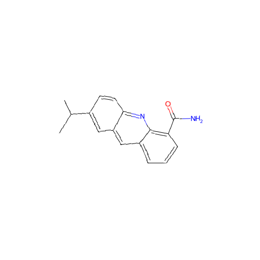 CC(C)c1ccc2nc3c(C(N)=O)cccc3cc2c1